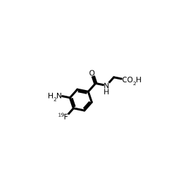 Nc1cc(C(=O)NCC(=O)O)ccc1[19F]